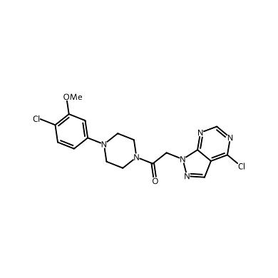 COc1cc(N2CCN(C(=O)Cn3ncc4c(Cl)ncnc43)CC2)ccc1Cl